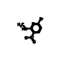 CNc1nc(Br)ccc1[N+](=O)[O-]